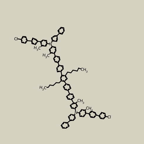 CCCCCCc1cc(-c2ccc(-c3ccc(-c4ccc(N(c5ccc(-c6ccccc6)cc5)c5ccc(-c6ccc(-c7ccc(Cl)cc7)cc6)c(C)c5)cc4C)cc3)cc2)c(CCCCCC)cc1-c1ccc(-c2ccc(-c3ccc(N(c4ccc(-c5ccccc5)cc4)c4ccc(-c5ccc(-c6ccc(Cl)cc6)cc5)c(C)c4)cc3C)cc2)cc1